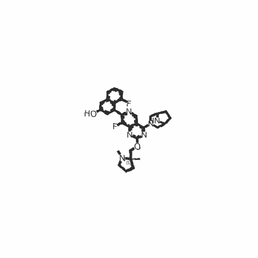 CN1CCC[C@@]1(C)COc1nc(N2CC3CCC(C2)N3)c2cnc(-c3cc(O)cc4cccc(F)c34)c(F)c2n1